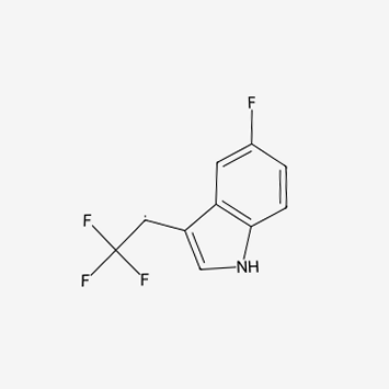 Fc1ccc2[nH]cc([CH]C(F)(F)F)c2c1